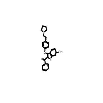 O=C(c1ccccc1)c1sc2cc(O)ccc2c1Oc1ccc(CCN2CCCC2)cc1